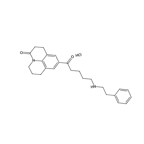 Cl.O=C(CCCCNCCc1ccccc1)c1cc2c3c(c1)CCC(=O)N3CCC2